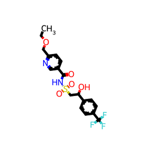 CCOCc1ccc(C(=O)NS(=O)(=O)CC(O)c2ccc(C(F)(F)F)cc2)cn1